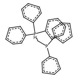 c1ccc(P(C[PH](c2ccccc2)(c2ccccc2)c2ccccc2)c2ccccc2)cc1